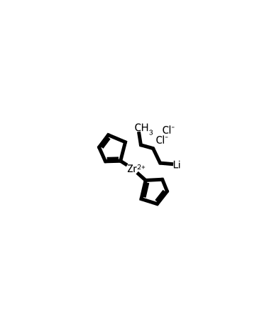 C1=CC[C]([Zr+2][C]2=CC=CC2)=C1.[Cl-].[Cl-].[Li][CH2]CCC